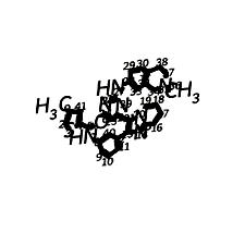 Cc1csc(C(=O)Nc2cccc(-c3nc4ccccn4c3-c3ccnc(Nc4ccc5c(c4)CN(C)CC5)n3)c2)c1